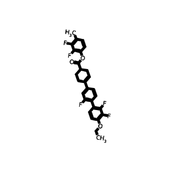 CCOc1ccc(-c2ccc(C3=CCC(C(=O)Oc4ccc(C)c(F)c4F)CC3)cc2F)c(F)c1F